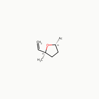 C=C[C@]1(C)CC[C@@H](C(C)=O)O1